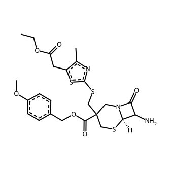 CCOC(=O)Cc1sc(SCC2(C(=O)OCc3ccc(OC)cc3)CS[C@@H]3C(N)C(=O)N3C2)nc1C